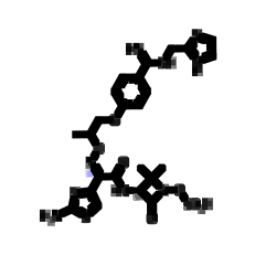 CC(COc1ccc(C(=N)NCc2ncc[nH]2)cc1)O/N=C(\C(=O)N[C@@H]1C(=O)N(OS(=O)(=O)O)C1(C)C)c1csc(N)n1